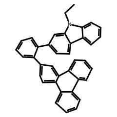 CCn1c2ccccc2c2ccc(-c3ccccc3-c3ccc4c5ccccc5c5ccccc5c4c3)cc21